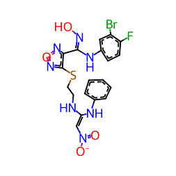 O=[N+]([O-])C=C(NCCSc1nonc1C(=NO)Nc1ccc(F)c(Br)c1)Nc1ccccc1